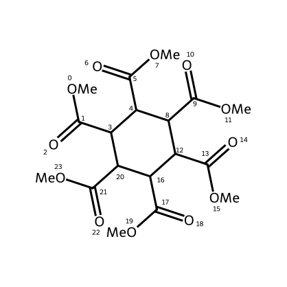 COC(=O)C1C(C(=O)OC)C(C(=O)OC)C(C(=O)OC)C(C(=O)OC)C1C(=O)OC